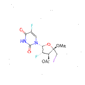 CO[C@]1(CI)O[C@@H](n2cc(F)c(=O)[nH]c2=O)[C@@H](F)[C@@H]1OC(C)=O